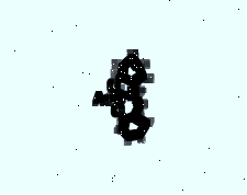 CC(=O)[B-]12Oc3ccccc3C=[N+]1c1ccccc1O2